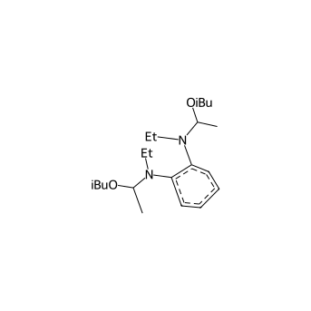 CCN(c1ccccc1N(CC)C(C)OCC(C)C)C(C)OCC(C)C